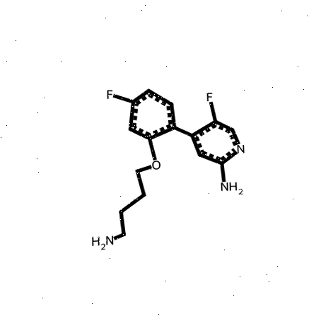 NCCCCOc1cc(F)ccc1-c1cc(N)ncc1F